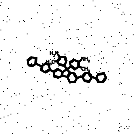 Cc1cc(C2(c3ccc(N)c(C)c3)C3=C(CCC(c4ccc(-c5ccccc5)cc4)=C3)c3ccc(-c4ccc(-c5ccccc5)cc4)cc32)ccc1N